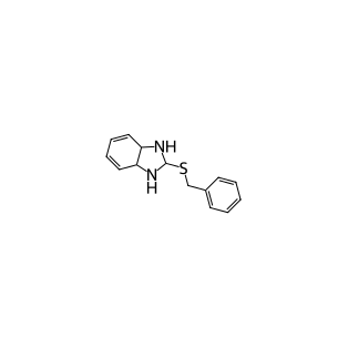 C1=CC2NC(SCc3ccccc3)NC2C=C1